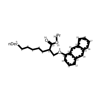 CCCCCCCCCCCCCCCC(COc1cccc2cc3ccccc3cc12)C(=O)OC(C)C